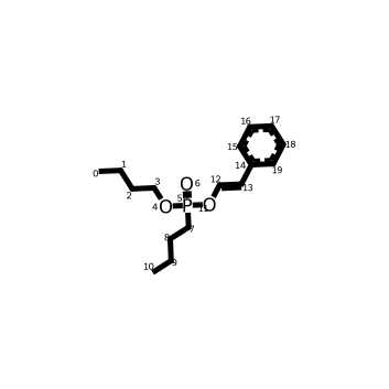 CCCCOP(=O)(CCCC)OC=Cc1ccccc1